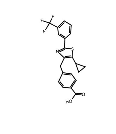 O=C(O)c1ccc(Cc2nc(-c3cccc(C(F)(F)F)c3)sc2C2CC2)cc1